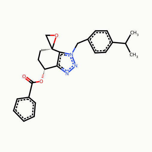 CC(C)c1ccc(Cn2nnc3c2[C@@]2(CC[C@H]3OC(=O)c3ccccc3)CO2)cc1